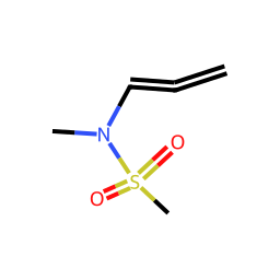 C=C=CN(C)S(C)(=O)=O